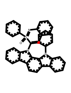 O=S1(c2ccccc2)=Nc2ccccc2C=C1n1c2ccccc2c2ccc3c4ccccc4n(-c4ccccc4)c3c21